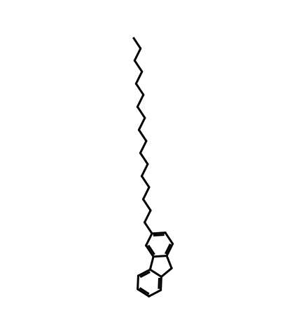 CCCCCCCCCCCCCCCCCc1ccc2c(c1)-c1ccccc1C2